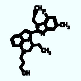 C#CCn1c(-c2cc3cccc4c3n2C(CC)CN4CCCO)nc2cc(C)cc(F)c21